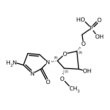 CO[C@H]1C(O)[C@@H](OCP(=O)(O)O)O[C@H]1n1ccc(N)nc1=O